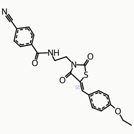 CCOc1ccc(/C=C2\SC(=O)N(CCNC(=O)c3ccc(C#N)cc3)C2=O)cc1